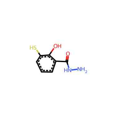 NNC(=O)c1cccc(S)c1O